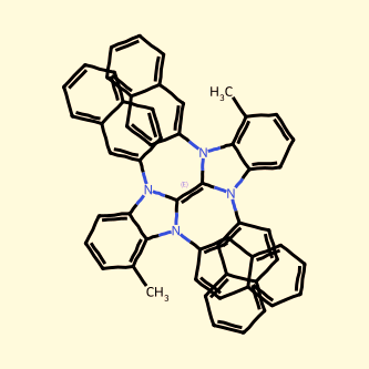 Cc1cccc2c1N(c1ccc3ccccc3c1)/C(=C1\N(c3ccc4ccccc4c3)c3cccc(C)c3N1c1ccc3ccccc3c1)N2c1ccc2ccccc2c1